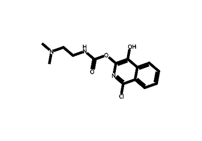 CN(C)CCNC(=O)Oc1nc(Cl)c2ccccc2c1O